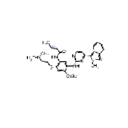 COc1cc(SCCN(C)C)c(NC(=O)/C=C/C(F)(F)F)cc1Nc1nccc(-c2c3ccccc3nn2C)n1